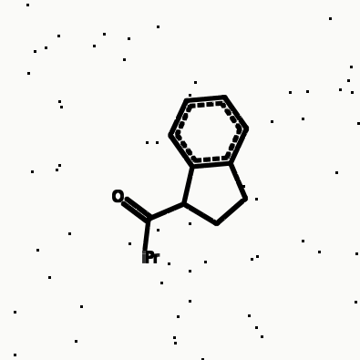 CC(C)C(=O)C1CCc2ccccc21